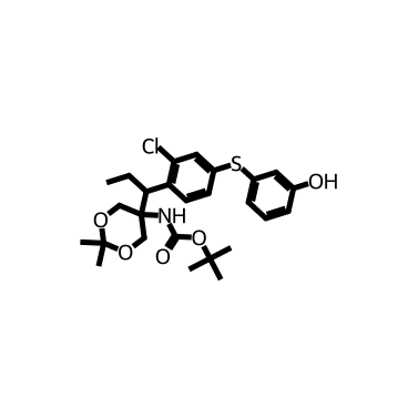 CCC(c1ccc(Sc2cccc(O)c2)cc1Cl)C1(NC(=O)OC(C)(C)C)COC(C)(C)OC1